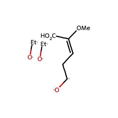 COC(=CC[CH][O])C(=O)O.[CH2][CH][O].[CH2][CH][O]